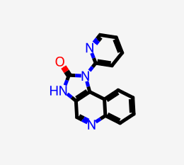 O=c1[nH]c2cnc3ccccc3c2n1-c1ccccn1